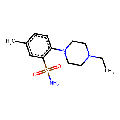 CCN1CCN(c2[c]cc(C)cc2S(N)(=O)=O)CC1